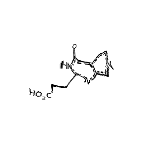 O=C(O)CCc1nc2cnccc2c(=O)[nH]1